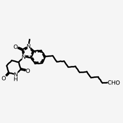 Cn1c(=O)n(C2CCC(=O)NC2=O)c2ccc(CCCCCCCCCCC=O)cc21